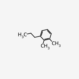 CCCc1cccc(C)c1C